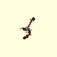 O=C(NCCOCCOCCNc1nc(Nc2ccc(O)cc2)nc(Nc2ccc(C(=O)NCc3ccc(-c4ccccc4)cc3)cc2)n1)c1ccccc1